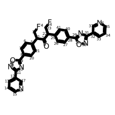 O=C(C(CF)c1ccc(-c2nc(-c3cccnc3)no2)cc1)C(CF)c1ccc(-c2nc(-c3cccnc3)no2)cc1